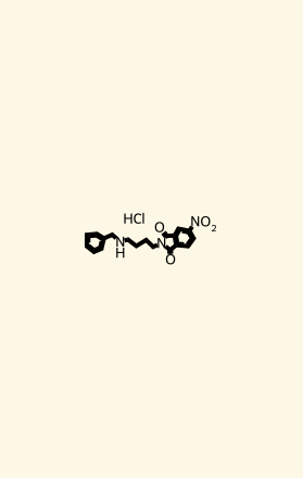 Cl.O=C1c2ccc([N+](=O)[O-])cc2C(=O)N1CCCCNCc1ccccc1